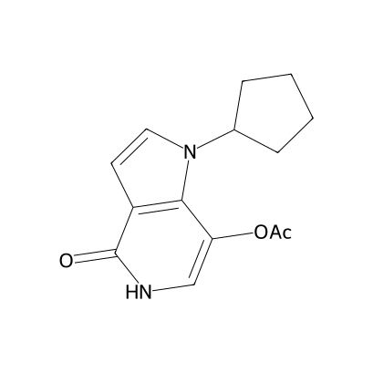 CC(=O)Oc1c[nH]c(=O)c2ccn(C3CCCC3)c12